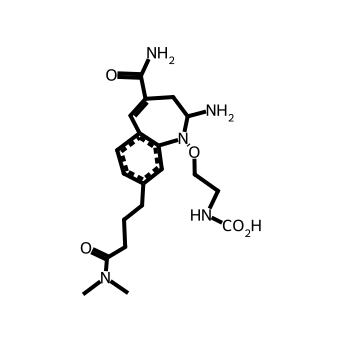 CN(C)C(=O)CCCc1ccc2c(c1)N(OCCNC(=O)O)C(N)CC(C(N)=O)=C2